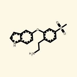 CS(=O)(=O)c1ccc(CCN)c(Oc2ccc3[nH]ccc3c2)c1